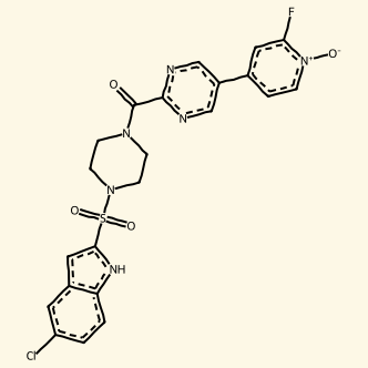 O=C(c1ncc(-c2cc[n+]([O-])c(F)c2)cn1)N1CCN(S(=O)(=O)c2cc3cc(Cl)ccc3[nH]2)CC1